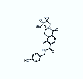 CC(C)(C)S(=O)(=O)C1(CN2CCn3c(ccc(C(=O)NCc4ccc(C#N)cc4)c3=O)C2=O)CC1